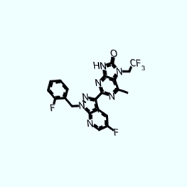 Cc1nc(-c2nn(Cc3ccccc3F)c3ncc(F)cc23)nc2[nH]c(=O)n(CC(F)(F)F)c12